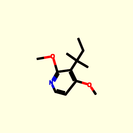 CCC(C)(C)c1c(OC)ccnc1OC